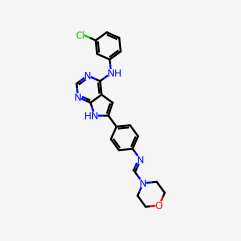 Clc1cccc(Nc2ncnc3[nH]c(-c4ccc(N=CN5CCOCC5)cc4)cc23)c1